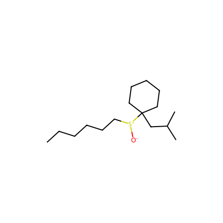 CCCCCC[S+]([O-])C1(CC(C)C)CCCCC1